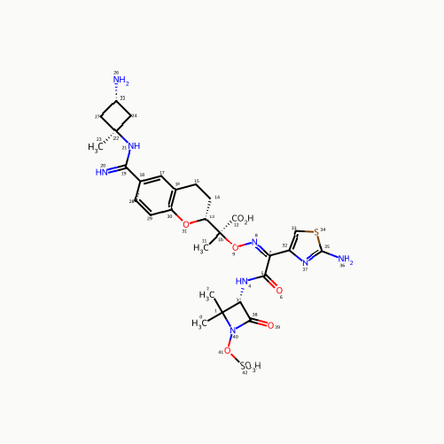 CC1(C)[C@H](NC(=O)/C(=N\O[C@](C)(C(=O)O)[C@H]2CCc3cc(C(=N)N[C@]4(C)C[C@@H](N)C4)ccc3O2)c2csc(N)n2)C(=O)N1OS(=O)(=O)O